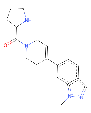 Cn1ncc2ccc(C3=CCN(C(=O)C4CCCN4)CC3)cc21